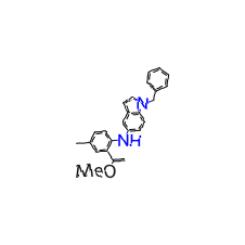 C=C(OC)c1cc(C)ccc1Nc1ccc2c(ccn2Cc2ccccc2)c1